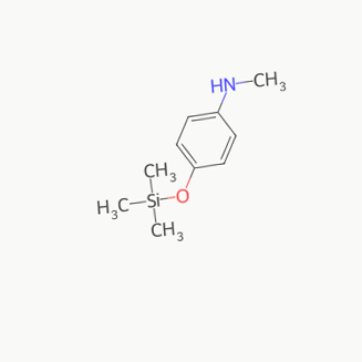 CNc1ccc(O[Si](C)(C)C)cc1